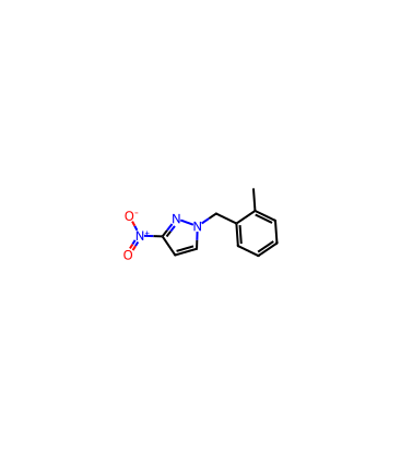 Cc1ccccc1Cn1ccc([N+](=O)[O-])n1